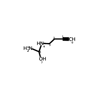 C#CCCNC(N)O